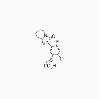 O=C(O)CSc1cc(-n2nc3n(c2=O)CCCC3)c(F)cc1Cl